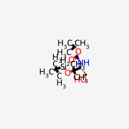 CC(C)(C)OC(=O)N[C@H](CO)C(C)(C)O[SiH2]C(C)(C)C